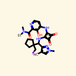 CCN(C)C(=O)c1nccc(Nc2c(NC(c3nn(C)cc3C#N)C3(CI)CCCC3)c(=O)c2=O)c1O